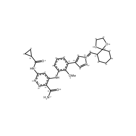 COc1c(Nc2cc(NC(=O)C3CC3)nnc2C(N)=O)cccc1C1=C/[N+](=C/C2CCCCC23OCCO3)N=C1